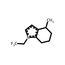 CC1CCCc2c1ccn2CC(F)(F)F